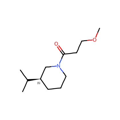 COCCC(=O)N1CCC[C@@H](C(C)C)C1